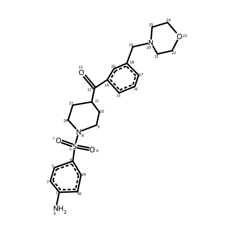 Nc1ccc(S(=O)(=O)N2CCC(C(=O)c3cccc(CN4CCOCC4)c3)CC2)cc1